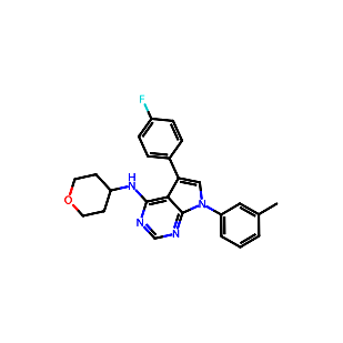 Cc1cccc(-n2cc(-c3ccc(F)cc3)c3c(NC4CCOCC4)ncnc32)c1